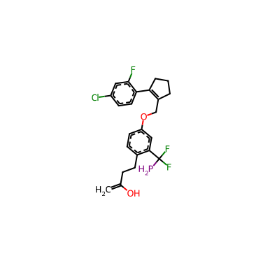 C=C(O)CCc1ccc(OCC2=C(c3ccc(Cl)cc3F)CCC2)cc1C(F)(F)P